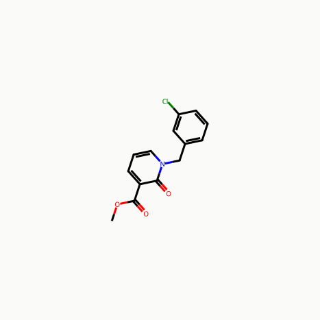 COC(=O)c1cccn(Cc2cccc(Cl)c2)c1=O